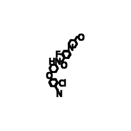 N#Cc1ccc(OC2CCC(NC(=O)c3ccc(N4CCC(C=O)CC4)cc3F)CC2)cc1Cl